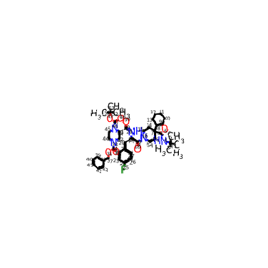 CC(C)(C)NC(=O)C1(C2CCCCC2)CCN(C(=O)[C@@H](Cc2ccc(F)cc2)NC(=O)[C@@H]2CN(C(=O)OCc3ccccc3)CCN2C(=O)OC(C)(C)C)CC1